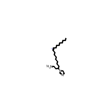 CCCCCCCC/C=C\CCCCCCCC(CCN)N1C=NCC1